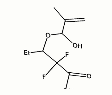 C=C(C)C(O)OC(CC)C(F)(F)C(=O)OC